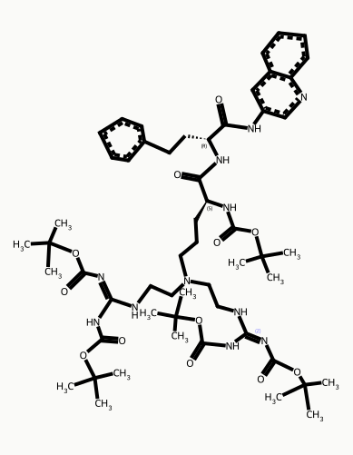 CC(C)(C)OC(=O)N=C(NCCN(CCC[C@H](NC(=O)OC(C)(C)C)C(=O)N[C@H](CCc1ccccc1)C(=O)Nc1cnc2ccccc2c1)CCN/C(=N/C(=O)OC(C)(C)C)NC(=O)OC(C)(C)C)NC(=O)OC(C)(C)C